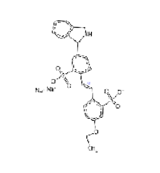 CCOc1ccc(/C=C/c2ccc(C3NCc4ccccc43)cc2S(=O)(=O)[O-])c(S(=O)(=O)[O-])c1.[Na+].[Na+]